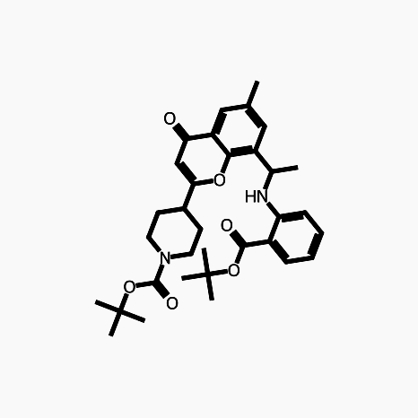 Cc1cc(C(C)Nc2ccccc2C(=O)OC(C)(C)C)c2oc(C3CCN(C(=O)OC(C)(C)C)CC3)cc(=O)c2c1